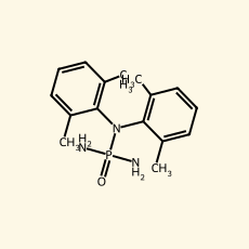 Cc1cccc(C)c1N(c1c(C)cccc1C)P(N)(N)=O